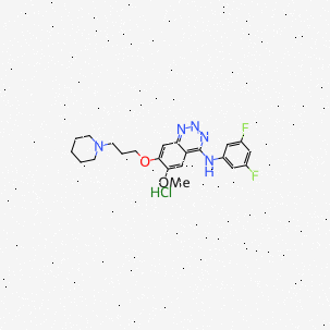 COc1cc2c(Nc3cc(F)cc(F)c3)nnnc2cc1OCCCN1CCCCC1.Cl